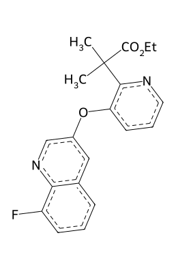 CCOC(=O)C(C)(C)c1ncccc1Oc1cnc2c(F)cccc2c1